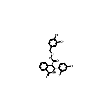 O=C1N[C@@H](c2ccc(Cl)cc2Cl)[C@H](C(=O)NOCc2ccc(O)c(O)c2)c2ccccc21